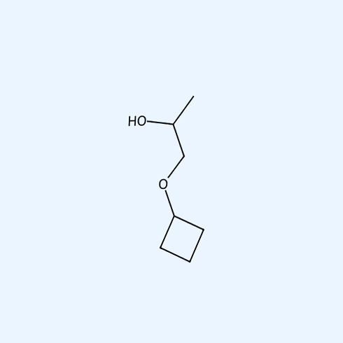 CC(O)COC1CCC1